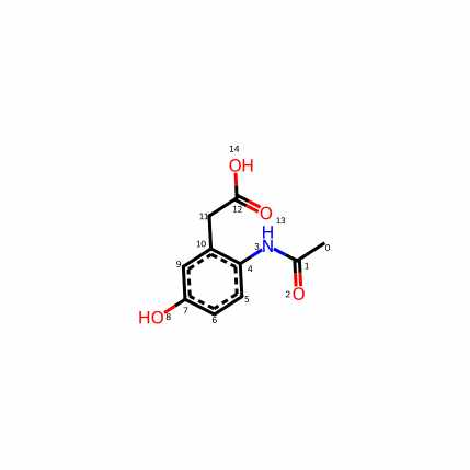 CC(=O)Nc1ccc(O)cc1CC(=O)O